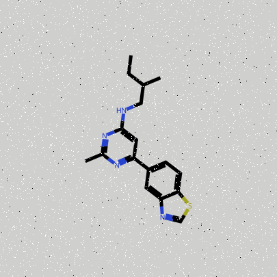 CCC(C)CNc1cc(-c2ccc3scnc3c2)nc(C)n1